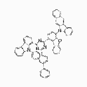 c1ccc(-c2ccc(-c3nc(-c4ccc(-n5c6ccccc6c6cc7ccccc7cc65)c5oc6ccccc6c45)nc(-c4cccc5c6ccccc6n(-c6ccccc6)c45)n3)cc2)cc1